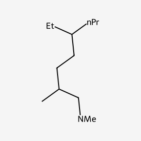 CCCC(CC)CCC(C)CNC